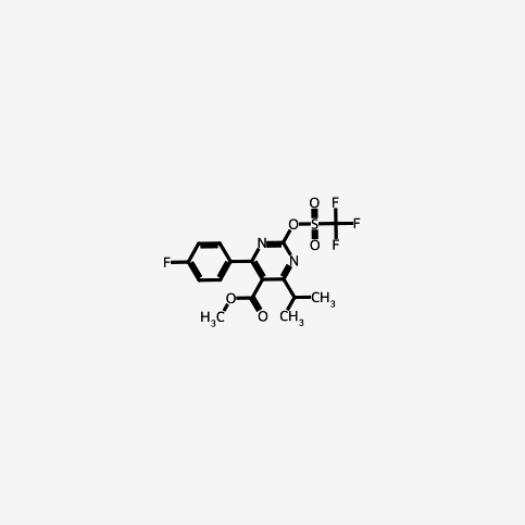 COC(=O)c1c(-c2ccc(F)cc2)nc(OS(=O)(=O)C(F)(F)F)nc1C(C)C